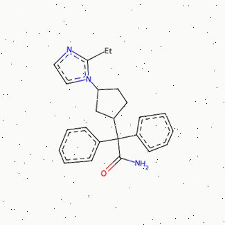 CCc1nccn1C1CCC(C(C(N)=O)(c2ccccc2)c2ccccc2)C1